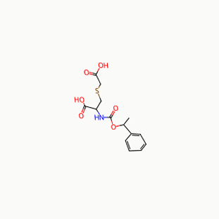 CC(OC(=O)NC(CSCC(=O)O)C(=O)O)c1ccccc1